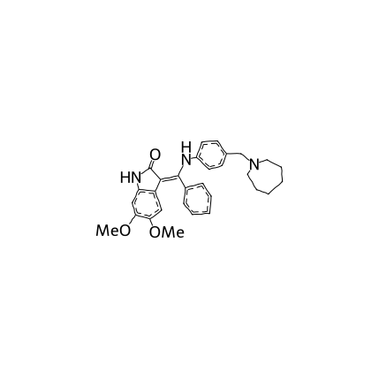 COc1cc2c(cc1OC)/C(=C(/Nc1ccc(CN3CCCCCC3)cc1)c1ccccc1)C(=O)N2